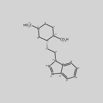 O=C(O)N1CCN(C(=O)O)[C@H](CCn2nnc3ccccc32)C1